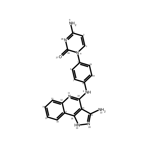 Nc1ccn(-c2ccc(Nc3nc4ccccc4c4[nH]nc(N)c34)cc2)c(=O)n1